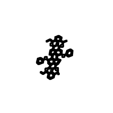 CCCc1cccc(C(C)C)c1N1C(=O)c2ccc3c4c(Oc5ccccc5)cc5c6c(ccc(c7c(Oc8ccccc8)cc(c2c37)C1=O)c64)C(=O)N(c1c(CCC)cccc1C(C)C)C5=O